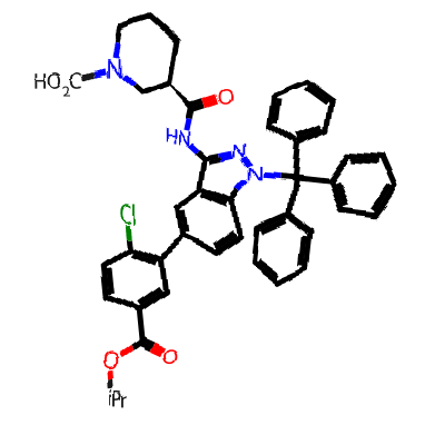 CC(C)OC(=O)c1ccc(Cl)c(-c2ccc3c(c2)c(NC(=O)[C@@H]2CCCN(C(=O)O)C2)nn3C(c2ccccc2)(c2ccccc2)c2ccccc2)c1